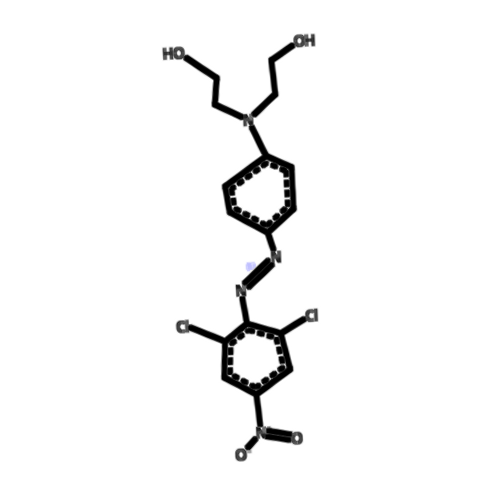 O=[N+]([O-])c1cc(Cl)c(/N=N/c2ccc(N(CCO)CCO)cc2)c(Cl)c1